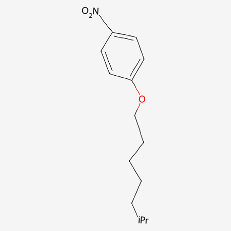 CC(C)CCCCCOc1ccc([N+](=O)[O-])cc1